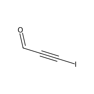 O=CC#CI